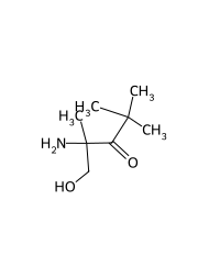 CC(C)(C)C(=O)C(C)(N)CO